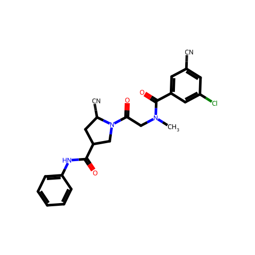 CN(CC(=O)N1CC(C(=O)Nc2ccccc2)CC1C#N)C(=O)c1cc(Cl)cc(C#N)c1